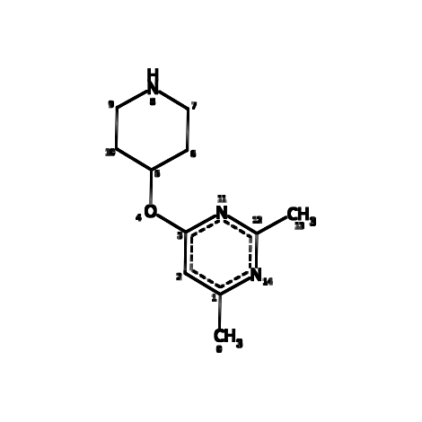 Cc1cc(OC2CCNCC2)nc(C)n1